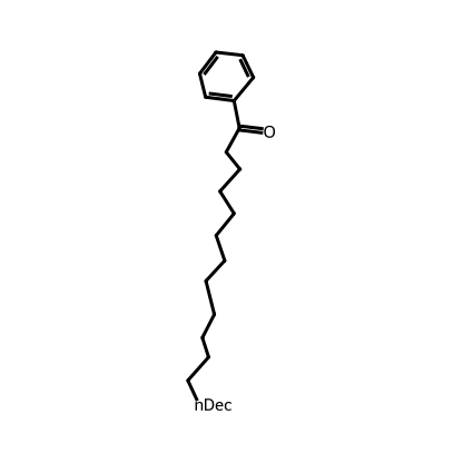 CCCCCCCCCCCCCCCCCCCCCC(=O)c1ccccc1